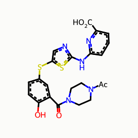 CC(=O)N1CCN(C(=O)c2cc(Sc3cnc(Nc4cccc(C(=O)O)n4)s3)ccc2O)CC1